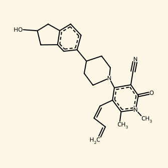 C=C/C=C\c1c(N2CCC(c3ccc4c(c3)CC(O)C4)CC2)c(C#N)c(=O)n(C)c1C